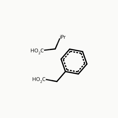 CC(C)CC(=O)O.O=C(O)Cc1ccccc1